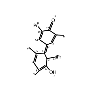 CC1=CC(=C2C(C)=CC(C)=C(O)C2C(C)C)C=C(C(C)C)C1=O